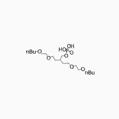 CCCCOCCOCCC(CCOCCOCCCC)COP(=O)(O)O